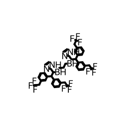 FC(F)(F)Cc1cccc(C(c2cccc(CC(F)(F)F)c2)C(BCCCBC(c2ncc[nH]2)C(c2cccc(CC(F)(F)F)c2)c2cccc(CC(F)(F)F)c2)c2ncc[nH]2)c1